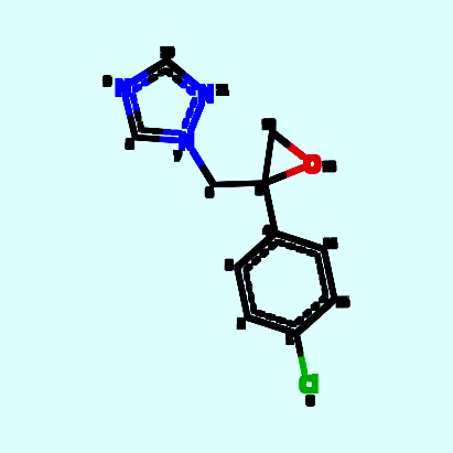 Clc1ccc(C2(Cn3cncn3)CO2)cc1